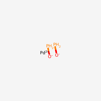 [O-]P.[O-]P.[Pd+2]